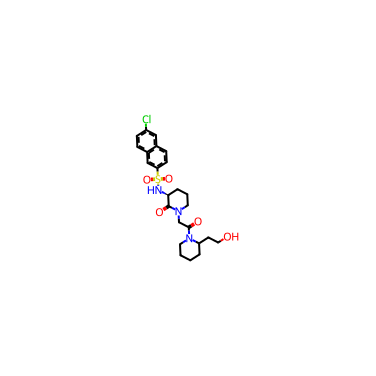 O=C1[C@@H](NS(=O)(=O)c2ccc3cc(Cl)ccc3c2)CCCN1CC(=O)N1CCCCC1CCO